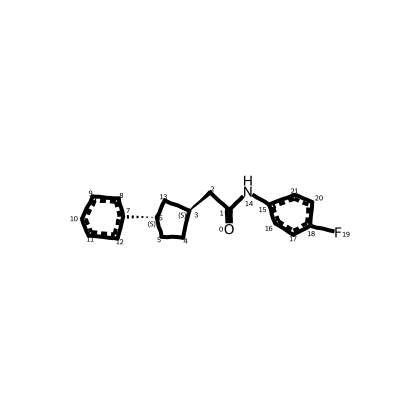 O=C(C[C@H]1CC[C@H](c2ccccc2)C1)Nc1ccc(F)cc1